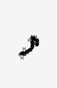 CN1CCN([C@@H]2CCCN(c3nnc(C(N)=O)c(NC4=C=C=C(N5CCN(CC6CCN(c7ccc(C(=O)NC8CCC(=O)NC8=O)nc7)CC6)CC5)C(F)=C4)n3)C2)C1=O